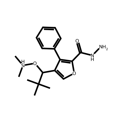 C[SiH](C)OC(c1coc(C(=O)NN)c1-c1ccccc1)C(C)(C)C